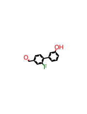 O=Cc1ccc(-c2cccc(O)c2)c(F)c1